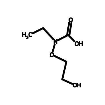 CCN(OCCO)C(=O)O